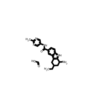 CCC1Cc2c([nH]c3ccc(C(=O)Nc4cnc(C)nc4)cc23)C(N)C1.O=CO